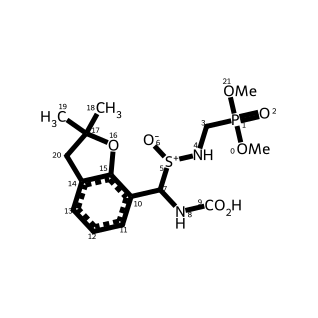 COP(=O)(CN[S+]([O-])C(NC(=O)O)c1cccc2c1OC(C)(C)C2)OC